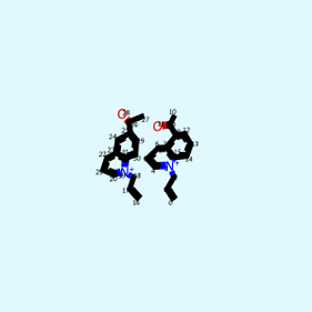 C=CC[n+]1cccc2c(C(C)=O)cccc21.C=CC[n+]1cccc2cc(C(C)=O)ccc21